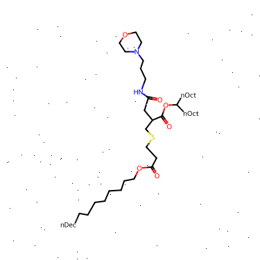 CCCCCCCCCCCCCCCCCCOC(=O)CCSCC(CC(=O)NCCCN1CCOCC1)C(=O)OC(CCCCCCCC)CCCCCCCC